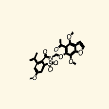 COc1cc(C(C)C)c2c(c1)S(=O)(=O)N(COc1c(C(C)=O)c(OC)c3ccoc3c1OC)C2=O